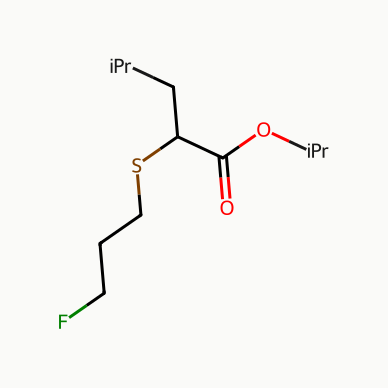 CC(C)CC(SCCCF)C(=O)OC(C)C